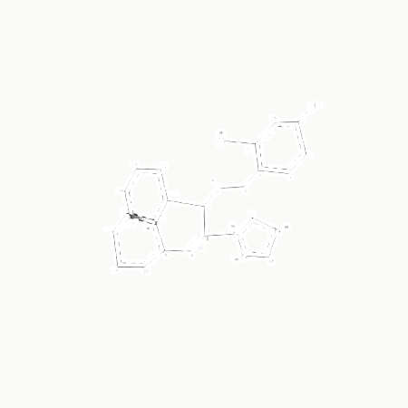 Clc1ccc(COC(/C(=C\c2ccccc2)n2cncn2)c2ccccc2)c(Cl)c1